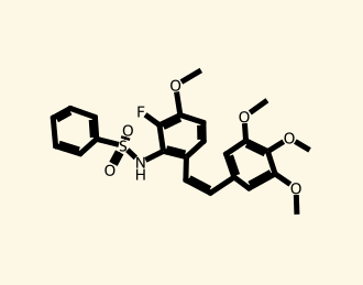 COc1ccc(/C=C\c2cc(OC)c(OC)c(OC)c2)c(NS(=O)(=O)c2ccccc2)c1F